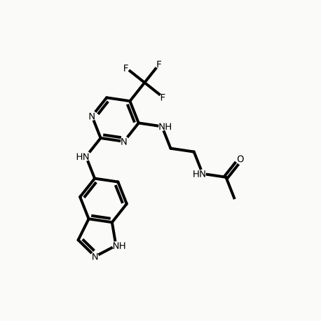 CC(=O)NCCNc1nc(Nc2ccc3[nH]ncc3c2)ncc1C(F)(F)F